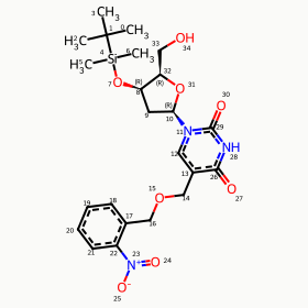 CC(C)(C)[Si](C)(C)O[C@@H]1C[C@H](n2cc(COCc3ccccc3[N+](=O)[O-])c(=O)[nH]c2=O)O[C@@H]1CO